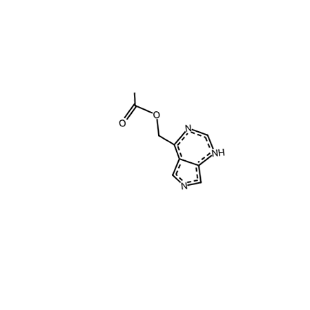 CC(=O)OCc1nc[nH]c2cncc1-2